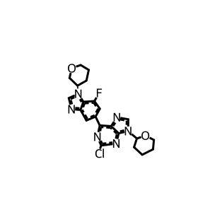 Fc1cc(-c2nc(Cl)nc3c2ncn3C2CCCCO2)cc2ncn([C@H]3CCCOC3)c12